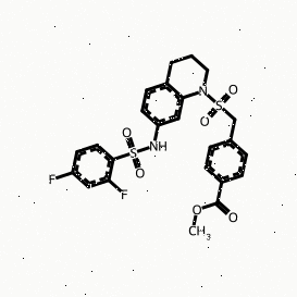 COC(=O)c1ccc(CS(=O)(=O)N2CCCc3ccc(NS(=O)(=O)c4ccc(F)cc4F)cc32)cc1